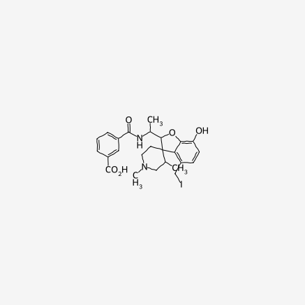 CC(NC(=O)c1cccc(C(=O)O)c1)C1Oc2c(O)ccc(CI)c2C12CCN(C)CC2C